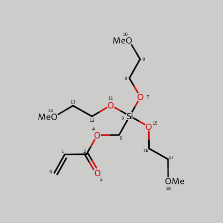 C=CC(=O)OC[Si](OCCOC)(OCCOC)OCCOC